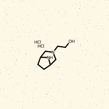 Cl.Cl.OCCN1CC2CCC(C1)N2